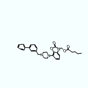 CCCCC(=O)OCn1c(=O)oc2c(N3CCN(Cc4cccc(-c5ccccc5)c4)CC3)cccc21